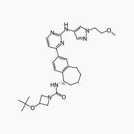 COCCn1cc(Nc2nccc(-c3ccc4c(c3)CCCC[C@@H]4NC(=O)N3CC(OC(C)(C)C)C3)n2)cn1